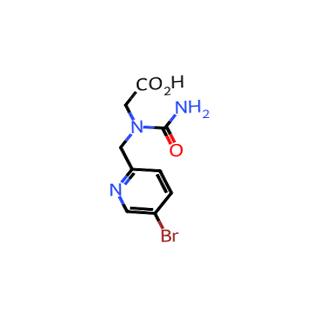 NC(=O)N(CC(=O)O)Cc1ccc(Br)cn1